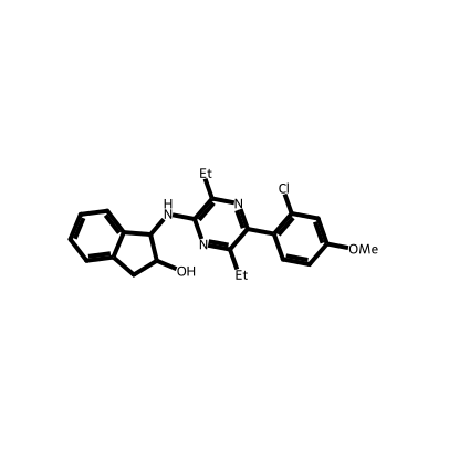 CCc1nc(-c2ccc(OC)cc2Cl)c(CC)nc1NC1c2ccccc2CC1O